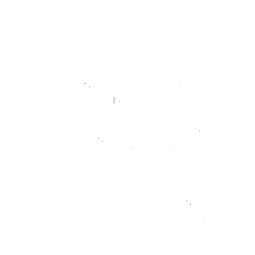 CC(C)N(C)CCC(C)S(=O)(=O)NC(=O)Nc1c2c(cc3c1C(C1Cc4cc5c(c(NC(=O)NS(=O)(=O)CCC(C)N(C)C(C)C)c4C1)CCC5)CC3)CCC2